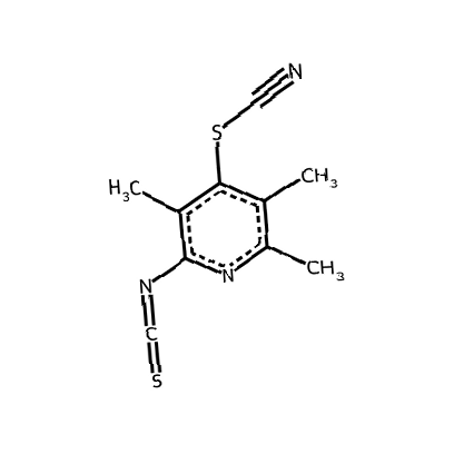 Cc1nc(N=C=S)c(C)c(SC#N)c1C